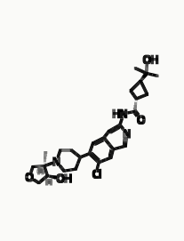 CC(C)(O)[C@H]1C[C@H](C(=O)Nc2cc3cc(C4CCN([C@]5(C)COC[C@@H]5O)CC4)c(Cl)cc3cn2)C1